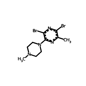 Cc1nc(N2CCN(C)CC2)c(Br)nc1Br